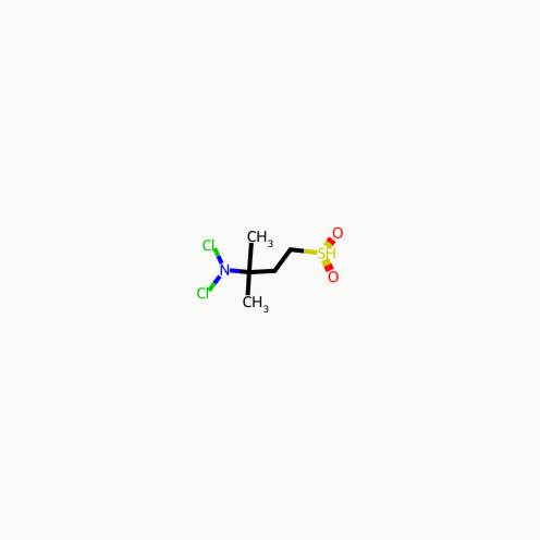 CC(C)(CC[SH](=O)=O)N(Cl)Cl